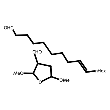 CCCCCCC=CCCCCCCCC=O.COC1CC(C=O)C(OC)O1